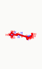 O=C(O)CC[C@H](NC(=O)N[C@@H](CCCCN(Cc1ccc(I)cc1)C(=O)CCCCCCC(=O)NCCCCNC(=O)c1ccc(CNC(=O)CN2CCN(CC(=O)O)CCN(CC(=O)O)CCN(CC(=O)O)CC2)cc1)C(=O)O)C(=O)O